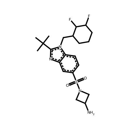 CC(C)(C)c1nc2cc(S(=O)(=O)N3CC(N)C3)ccc2n1CC1CCCC(F)C1F